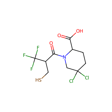 O=C(O)C1CCC(Cl)(Cl)CN1C(=O)C(CS)C(F)(F)F